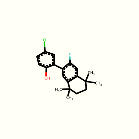 CC1(C)CCC(C)(C)c2cc(-c3cc(Cl)ccc3O)c(F)cc21